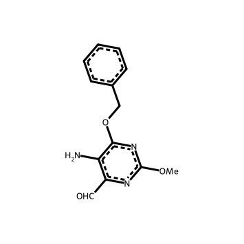 COc1nc(C=O)c(N)c(OCc2ccccc2)n1